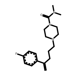 C=C(CCCN1CCN(C(=O)N(C)C)CC1)c1ccc(F)cc1